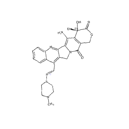 CC[C@@]1(O)C(=O)OCc2c1c(N)c1n(c2=O)Cc2c-1nc1ccccc1c2/C=N/N1CCN(C)CC1